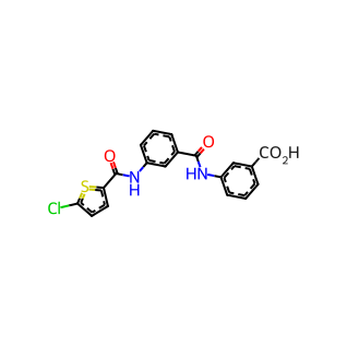 O=C(O)c1cccc(NC(=O)c2cccc(NC(=O)c3ccc(Cl)s3)c2)c1